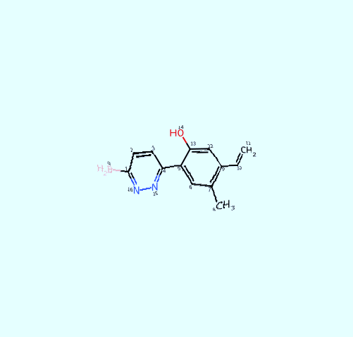 Bc1ccc(-c2cc(C)c(C=C)cc2O)nn1